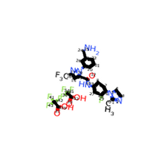 Cc1nccn1-c1ccc(NC(=O)c2cc(C(F)(F)F)nn2-c2cccc(CN)c2)cc1F.O=C(O)C(F)(F)F.O=C(O)C(F)(F)F